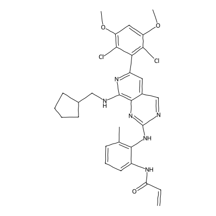 C=CC(=O)Nc1cccc(C)c1Nc1ncc2cc(-c3c(Cl)c(OC)cc(OC)c3Cl)nc(NCC3CCCC3)c2n1